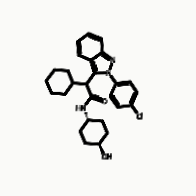 O=C(N[C@H]1CC[C@H](O)CC1)C(c1c2ccccc2nn1-c1ccc(Cl)cc1)C1CCCCC1